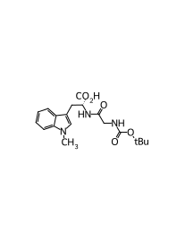 Cn1cc(C[C@@H](NC(=O)CNC(=O)OC(C)(C)C)C(=O)O)c2ccccc21